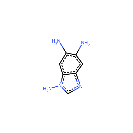 Nc1cc2ncn(N)c2cc1N